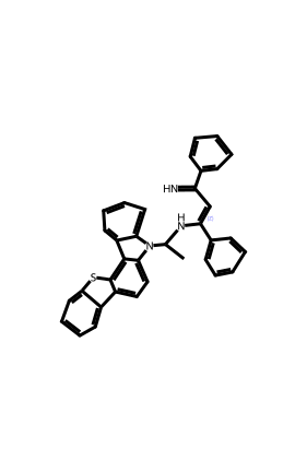 CC(N/C(=C\C(=N)c1ccccc1)c1ccccc1)n1c2ccccc2c2c3sc4ccccc4c3ccc21